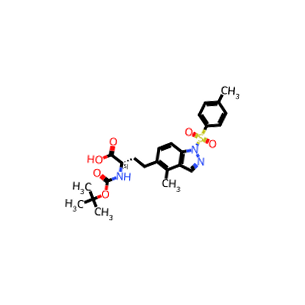 Cc1ccc(S(=O)(=O)n2ncc3c(C)c(CC[C@H](NC(=O)OC(C)(C)C)C(=O)O)ccc32)cc1